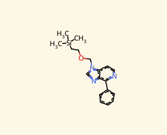 C[Si](C)(C)CCOCn1cnc2c(-c3ccccc3)nccc21